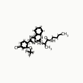 CCCCNC(=O)C(C)Nc1nc2ccccc2c2nc(-c3ccc(Cl)cc3OC(F)(F)F)nn12